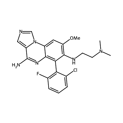 COc1cc2c(nc(N)c3cncn32)c(-c2c(F)cccc2Cl)c1NCCN(C)C